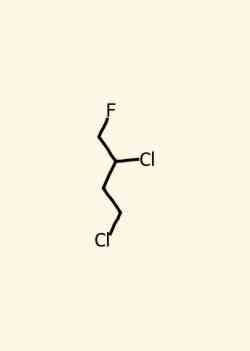 FCC(Cl)CCCl